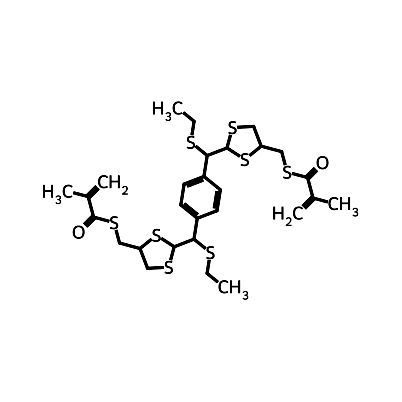 C=C(C)C(=O)SCC1CSC(C(SCC)c2ccc(C(SCC)C3SCC(CSC(=O)C(=C)C)S3)cc2)S1